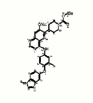 COc1cc2ncnc(Nc3ccc(Oc4ccc5c(c4)ncn5C)c(C)c3)c2nc1C1CCN(C(=O)OC(C)(C)C)CC1